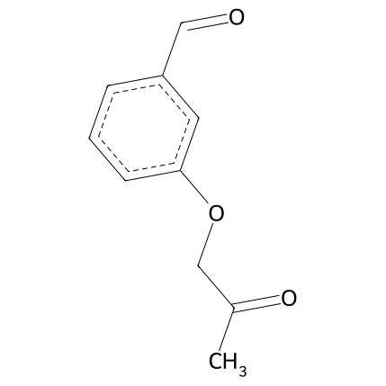 CC(=O)COc1cccc(C=O)c1